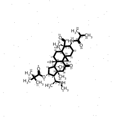 CN[C@@H](C)[C@H]1[C@H](OC(=O)C(C)(C)C)C[C@@]2(C)[C@@H]3CC[C@@H]4C5(CC[C@H](NC(=O)C(C)C)[C@@]4(C)C=O)C[C@@]35C(=O)C[C@]12C